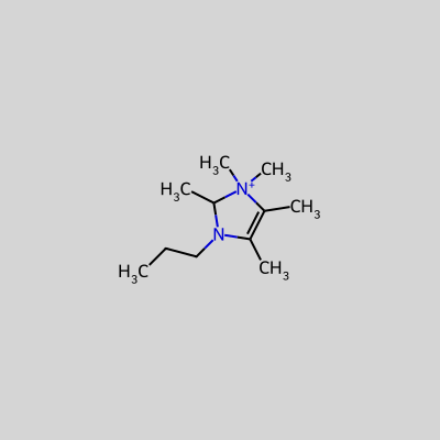 CCCN1C(C)=C(C)[N+](C)(C)C1C